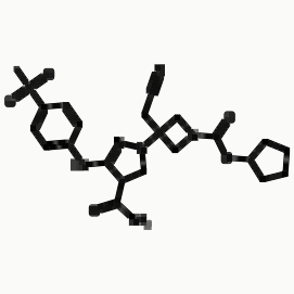 CS(=O)(=O)c1ccc(NC2=NN(C3(CC#N)CN(C(=O)OC4CCCC4)C3)CC2C(N)=O)cc1